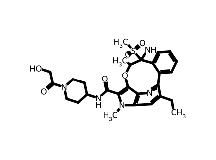 CCc1cc2c3nc1-c1ccccc1C(N)(S(C)(=O)=O)C(C)Oc3c(C(=O)NC1CCN(C(=O)CO)CC1)n2C